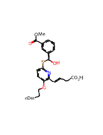 CCCCCCCCCCCCOc1ccc(SC(O)c2cccc(C(=O)OC)c2)nc1C=CCC(=O)O